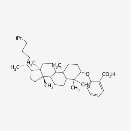 CC(C)CCC[C@@H](C)[C@H]1CC[C@@]2(C)C3CCC4C(C)(C)C(Oc5ccccc5C(=O)O)CC[C@]4(C)C3CC[C@]12C